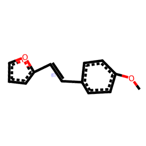 COc1ccc(/C=C/c2ccco2)cc1